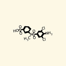 CN(c1cccc(S(=O)(=O)O)c1)S(=O)(=O)c1cc(Cl)c(N)c(Cl)c1